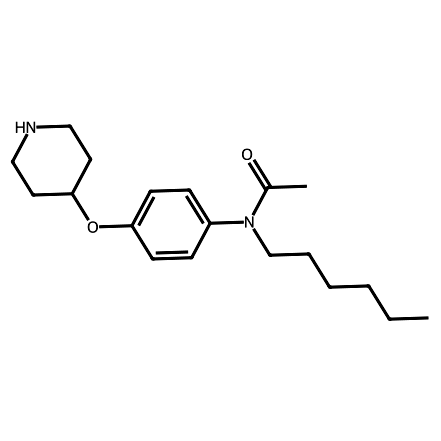 CCCCCCN(C(C)=O)c1ccc(OC2CCNCC2)cc1